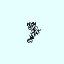 C[C@H]1CC[C@H](c2ccc3cn([C@H]4CCOC4)nc3c2)N(C(=O)C(=O)Nc2cncc3cn[nH]c23)C1